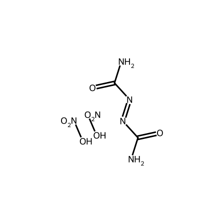 NC(=O)/N=N/C(N)=O.O=[N+]([O-])O.O=[N+]([O-])O